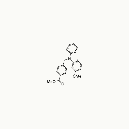 COC(=O)c1ccc(CN(c2cnccn2)c2cc(OC)ccn2)cc1